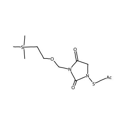 CC(=O)SN1CC(=O)N(COCC[Si](C)(C)C)C1=O